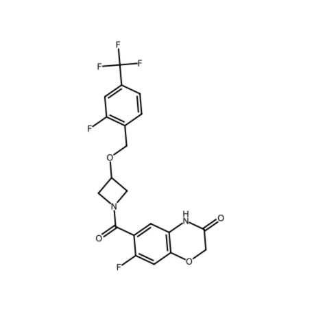 O=C1COc2cc(F)c(C(=O)N3CC(OCc4ccc(C(F)(F)F)cc4F)C3)cc2N1